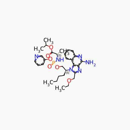 CCCC[C@@H](COP(=O)(N[C@@H](C)C(=O)OC(C)C)Oc1cccnc1)n1c(COCC)nc2c(N)nc3ccccc3c21